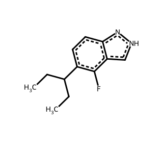 CCC(CC)c1ccc2n[nH]cc2c1F